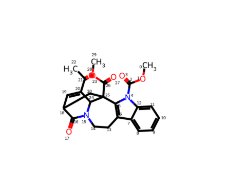 COC(=O)n1c2c(c3ccccc31)CCN1C(=O)C3C=C(C(C)=O)C1C2(C(=O)OC)C3